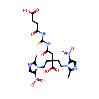 Cc1ncc([N+](=O)[O-])n1CCC(CCn1c([N+](=O)[O-])cnc1C)(CC(=O)NC(=S)NC(=O)CCC(=O)O)C(=O)O